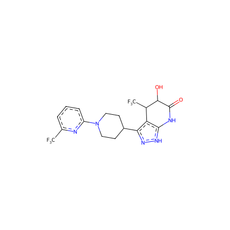 O=C1Nc2[nH]nc(C3CCN(c4cccc(C(F)(F)F)n4)CC3)c2C(C(F)(F)F)C1O